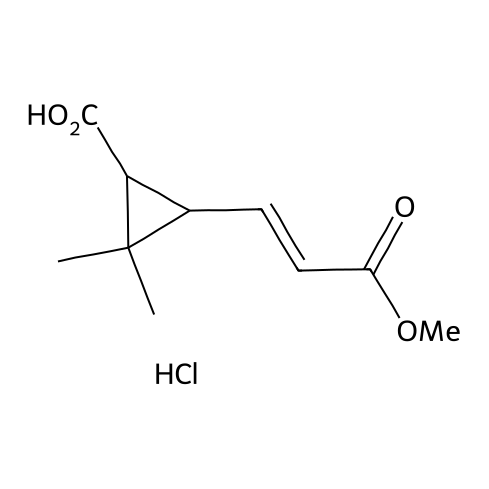 COC(=O)C=CC1C(C(=O)O)C1(C)C.Cl